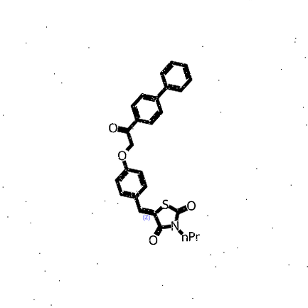 CCCN1C(=O)S/C(=C\c2ccc(OCC(=O)c3ccc(-c4ccccc4)cc3)cc2)C1=O